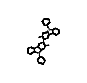 Cc1cc2c(cc1-c1cc3c4ccccc4n(-c4ccccc4)c3cc1C)c1ccccc1n2-c1ccccc1